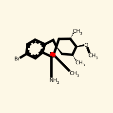 CO[C@H]1[C@H](C)C[C@@]2(Cc3ccc(Br)cc3C23N=C(C)C(N)=N3)C[C@@H]1C